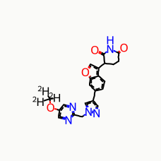 [2H]C([2H])([2H])Oc1cnc(Cn2cc(-c3ccc4c(C5CCC(=O)NC5=O)coc4c3)cn2)nc1